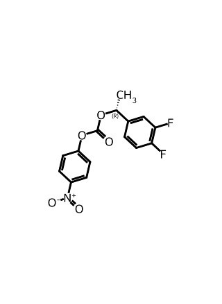 C[C@@H](OC(=O)Oc1ccc([N+](=O)[O-])cc1)c1ccc(F)c(F)c1